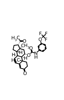 CC(=O)[C@H]1CC[C@H]2[C@@H]3C=CC4=CC(=O)CC[C@@]4(C)[C@@H]3[C@@H](OC(=O)Nc3cccc(OC(F)(F)F)c3)C[C@]12C